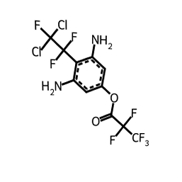 Nc1cc(OC(=O)C(F)(F)C(F)(F)F)cc(N)c1C(F)(F)C(F)(Cl)Cl